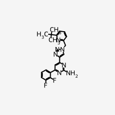 CC(C)(C)c1cccc(Cn2cc(-c3cc(-c4cccc(F)c4F)nc(N)n3)nn2)n1